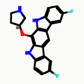 Fc1ccc2[nH]c3c(O[C@H]4CCNC4)c4[nH]c5ccc(F)cc5c4cc3c2c1